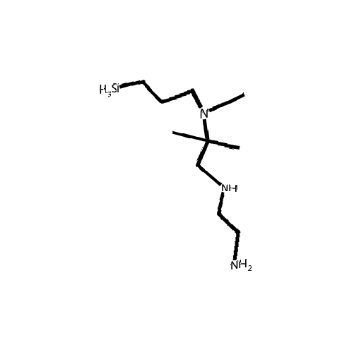 CN(CCC[SiH3])C(C)(C)CNCCN